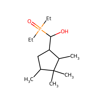 CCP(=O)(CC)C(O)C1CC(C)C(C)(C)C1C